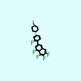 Fc1cc([C@H]2CC[C@H](I)CC2)ccc1-c1cc(F)c2c(F)c(F)c(F)cc2c1